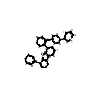 c1ccc(-c2cccc3c2sc2c(-c4ccccc4-c4ccc(-c5cccnc5)cc4)cccc23)cc1